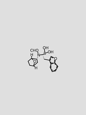 O=CN([C@@H]1C[C@@H]2CC[C@H]1O2)[C@@H](Cc1coc2ccccc12)B(O)O